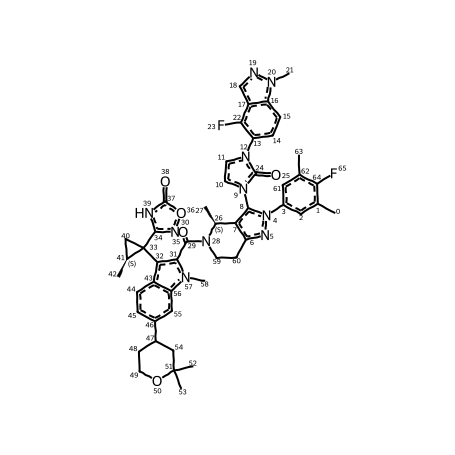 Cc1cc(-n2nc3c(c2-n2ccn(-c4ccc5c(cnn5C)c4F)c2=O)[C@H](C)N(C(=O)c2c(C4(c5noc(=O)[nH]5)C[C@@H]4C)c4ccc(C5CCOC(C)(C)C5)cc4n2C)CC3)cc(C)c1F